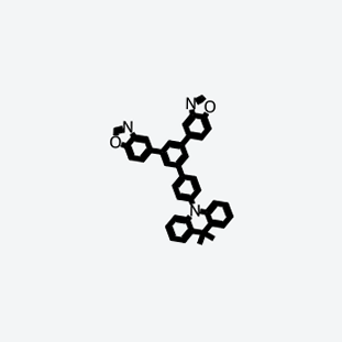 CC1(C)c2ccccc2N(c2ccc(-c3cc(-c4ccc5ocnc5c4)cc(-c4ccc5ocnc5c4)c3)cc2)c2ccccc21